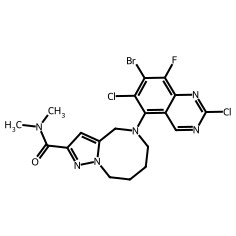 CN(C)C(=O)c1cc2n(n1)CCCCN(c1c(Cl)c(Br)c(F)c3nc(Cl)ncc13)C2